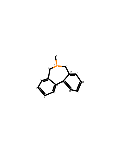 CP1Cc2ccccc2-c2ccccc2C1